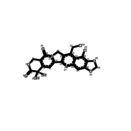 CC[C@@]1(O)C(=O)OCc2c1cc1n(c2=O)Cc2c-1nc1cc3c(c(Cl)c1c2CCl)OCO3